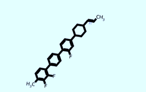 C/C=C/C1CCC(c2ccc(-c3ccc(-c4ccc(C)c(F)c4F)cc3)c(F)c2)CC1